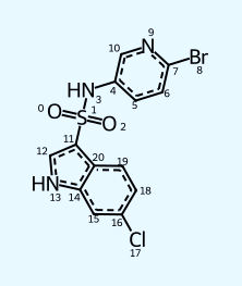 O=S(=O)(Nc1ccc(Br)nc1)c1c[nH]c2cc(Cl)ccc12